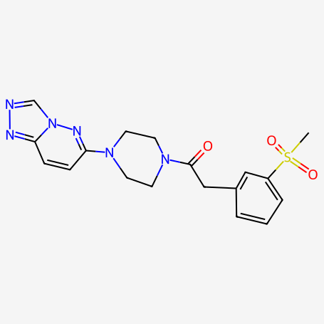 CS(=O)(=O)c1cccc(CC(=O)N2CCN(c3ccc4nncn4n3)CC2)c1